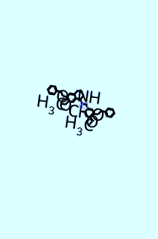 COc1cc(Cl)c(/C=C/C2NCCc3cc(OCc4ccccc4)c(OC)cc32)cc1OCc1ccccc1